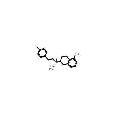 Cl.Cl.Nc1cccc2c1CCC(NCCc1ccc(F)cc1)C2